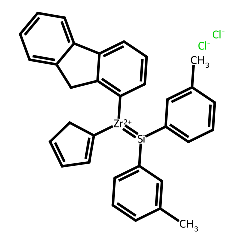 Cc1cccc([Si](c2cccc(C)c2)=[Zr+2]([C]2=CC=CC2)[c]2cccc3c2Cc2ccccc2-3)c1.[Cl-].[Cl-]